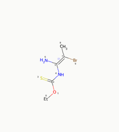 CCOC(=S)N/C(N)=C(/C)Br